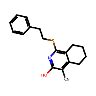 N#Cc1c(O)nc(SCCc2ccccc2)c2c1CCCC2